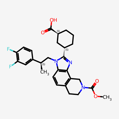 COC(=O)N1CCc2ccc3c(nc([C@H]4CCC[C@H](C(=O)O)C4)n3C[C@@H](C)c3ccc(F)c(F)c3)c2C1